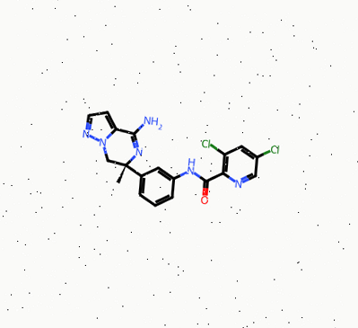 C[C@@]1(c2cccc(NC(=O)c3ncc(Cl)cc3Cl)c2)Cn2nccc2C(N)=N1